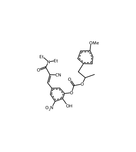 CCN(CC)C(=O)/C(C#N)=C/c1cc(OC(=O)OC(C)Cc2ccc(OC)cc2)c(O)c([N+](=O)[O-])c1